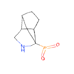 O=P(=O)C12NCC3C1CCC32